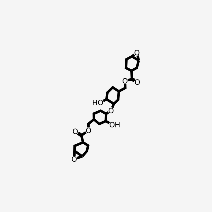 O=C(OCC1CCC(OC2CC(COC(=O)C3CCC4OC4C3)CCC2O)C(O)C1)C1CCC2OC2C1